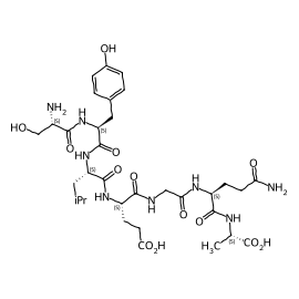 CC(C)C[C@H](NC(=O)[C@H](Cc1ccc(O)cc1)NC(=O)[C@@H](N)CO)C(=O)N[C@@H](CCC(=O)O)C(=O)NCC(=O)N[C@@H](CCC(N)=O)C(=O)N[C@@H](C)C(=O)O